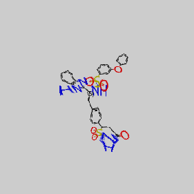 O=C1CC(c2ccc(C[C@H](NS(=O)(=O)c3cccc(Oc4ccccc4)c3)c3nc4ccccc4[nH]3)cc2)S(=O)(=O)N1